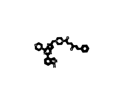 O=C(C=Cc1ccccc1)CCC(=O)N1CCN(Cc2cc3nc(-c4cccc5[nH]ncc45)nc(N4CCOCC4)c3s2)CC1